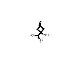 CC(O)C1(C(=O)O)CC(=O)C1